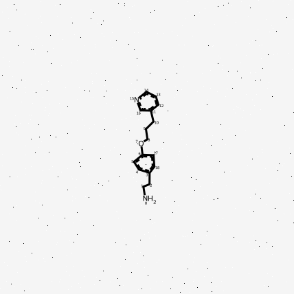 NCCc1ccc(OCCCc2cccnc2)cc1